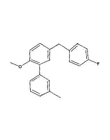 COc1ccc(Cc2ccc(F)cc2)cc1-c1cccc(C)c1